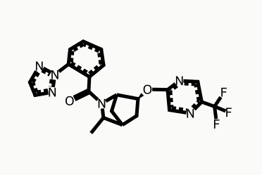 CC1C2CC([C@@H](Oc3cnc(C(F)(F)F)cn3)C2)N1C(=O)c1ccccc1-n1nccn1